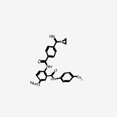 COc1ccc(NC(=O)c2ccc(C(=N)N3CC3)cc2)c(C(=O)Nc2ccc(C)cc2)c1